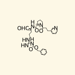 N=C(NCCC[C@@H](C=O)NC(=O)[C@@H]1CCCN1C(=O)CCc1cccnc1)NC(=O)OCc1ccccc1